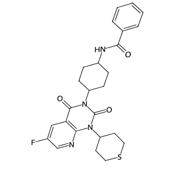 O=C(NC1CCC(n2c(=O)c3cc(F)cnc3n(C3CCSCC3)c2=O)CC1)c1ccccc1